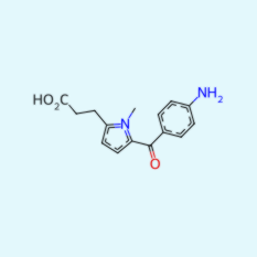 Cn1c(CCC(=O)O)ccc1C(=O)c1ccc(N)cc1